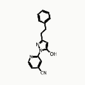 N#Cc1ccnc(-n2nc(CCc3ccccc3)cc2O)c1